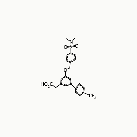 CN(C)S(=O)(=O)c1ccc(COc2cc(CC(=O)O)cc(-c3ccc(C(F)(F)F)cc3)c2)cc1